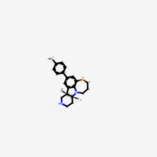 CCCCc1ccc(-c2cc3c4c(c2)[C@H]2CNCC[C@H]2N4CCCS3)cc1